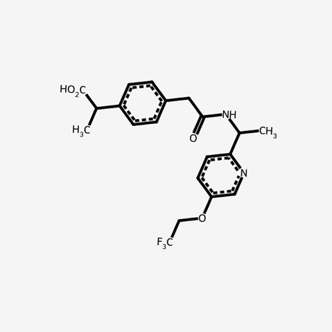 CC(NC(=O)Cc1ccc(C(C)C(=O)O)cc1)c1ccc(OCC(F)(F)F)cn1